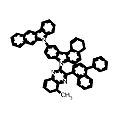 CC1CC=Cc2nc(-n3c4ccc(-n5c6ccccc6c6cc7ccccc7cc65)cc4c4c5c(ccc43)CCC=C5)c(-c3ccc(-c4ccccc4)c4ccccc34)nc21